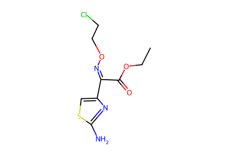 CCOC(=O)/C(=N\OCCCl)c1csc(N)n1